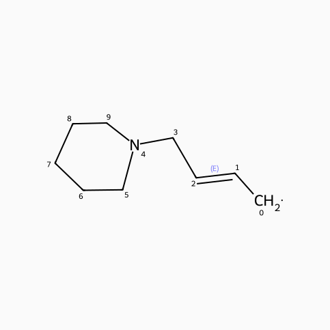 [CH2]/C=C/CN1CCCCC1